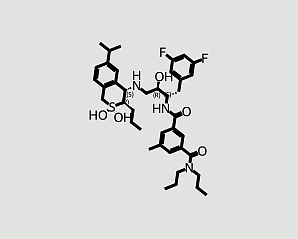 CCC[C@@H]1[C@@H](NC[C@@H](O)[C@H](Cc2cc(F)cc(F)c2)NC(=O)c2cc(C)cc(C(=O)N(CCC)CCC)c2)c2cc(C(C)C)ccc2CS1(O)O